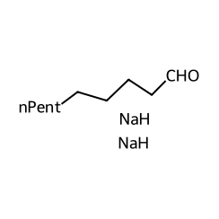 CCCCCCCCCC=O.[NaH].[NaH]